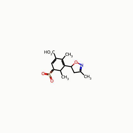 CC1=NOC(C2=C(C)C(C(=O)O)=CC(=S(=O)=O)C2C)C1